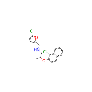 CC(CNCc1ccc(Cl)o1)Oc1ccc2ccccc2c1Cl